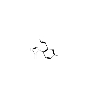 O=C(O)/C=C/c1cc(C(F)(F)F)ccc1-n1cn[nH]1